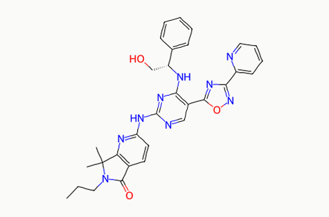 CCCN1C(=O)c2ccc(Nc3ncc(-c4nc(-c5ccccn5)no4)c(N[C@H](CO)c4ccccc4)n3)nc2C1(C)C